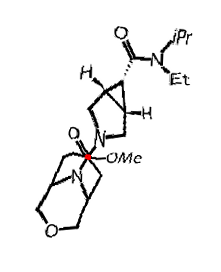 CCN(C(=O)[C@@H]1[C@@H]2CN(C3CC4COCC(C3)N4C(=O)OC)C[C@@H]21)C(C)C